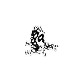 CC1(C)COC2(CCC3=C4[C@@H](CC[C@@]3(O)C2)[C@@H]2CC[C@H](O)[C@@]2(C)C[C@@H]4c2ccc(CCO[Si](C)(C)C(C)(C)C)cc2)OC1